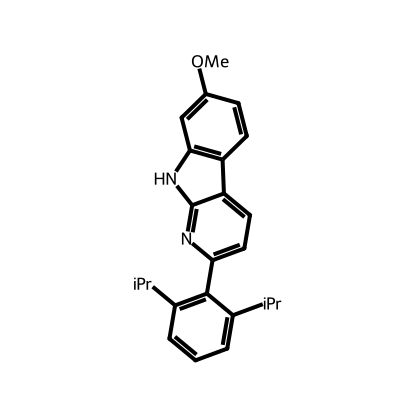 COc1ccc2c(c1)[nH]c1nc(-c3c(C(C)C)cccc3C(C)C)ccc12